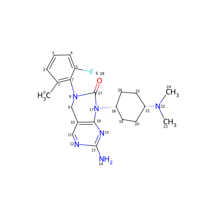 Cc1cccc(F)c1N1Cc2cnc(N)nc2N([C@H]2CC[C@@H](N(C)C)CC2)C1=O